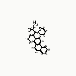 CC(=O)C(C1C=CC=CS1)C1CCCc2c1ccc1c2ccc2ccccc21